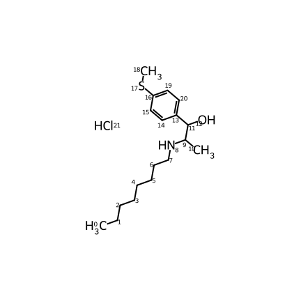 CCCCCCCCNC(C)C(O)c1ccc(SC)cc1.Cl